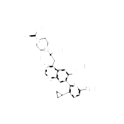 COc1cc2c(CC(C)(C)N3CCN(C(=O)O)CC3)ncnc2cc1-c1nc(N)ccc1C1CC1